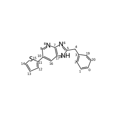 c1ccc(Cc2nc3ncc(-c4cccs4)cc3[nH]2)cc1